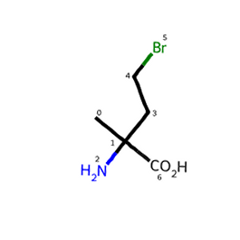 CC(N)(CCBr)C(=O)O